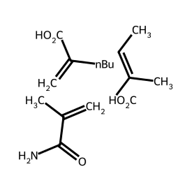 C=C(C)C(N)=O.C=C(CCCC)C(=O)O.CC=C(C)C(=O)O